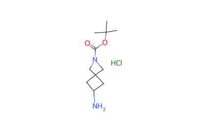 CC(C)(C)OC(=O)N1CC2(CC(N)C2)C1.Cl